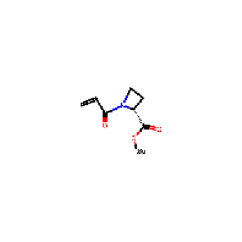 C=CC(=O)N1CC[C@@H]1C(=O)OC(C)(C)C